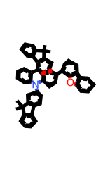 CC1(C)c2ccccc2-c2ccc(N(c3ccc(-c4cccc5c4oc4ccccc45)cc3)c3ccccc3-c3cccc4c3-c3ccccc3C4(C)C)cc21